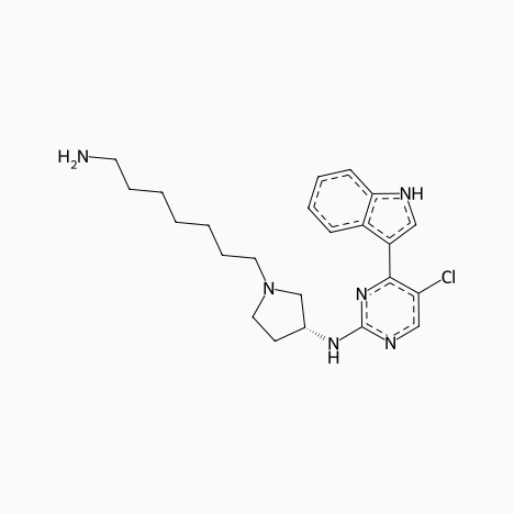 NCCCCCCCN1CC[C@@H](Nc2ncc(Cl)c(-c3c[nH]c4ccccc34)n2)C1